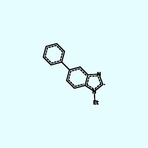 CCn1[c]nc2cc(-c3ccccc3)ccc21